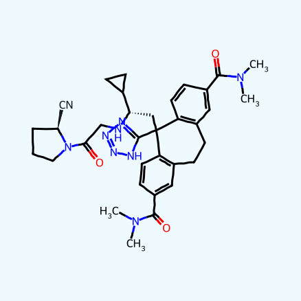 CN(C)C(=O)c1ccc2c(c1)CCc1cc(C(=O)N(C)C)ccc1C2(C[C@H](NCC(=O)N1CCC[C@H]1C#N)C1CC1)c1nnn[nH]1